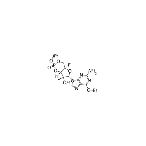 CCOc1nc(N)nc2c1ncn2C1O[C@]2(F)CO[P@@](=O)(OC(C)C)O[C@H]2[C@@]1(C)O